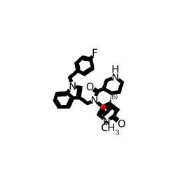 Cn1ccc([C@H]2CCNCC2C(=O)N(Cc2cn(Cc3ccc(F)cc3)c3ccccc23)C2CC2)cc1=O